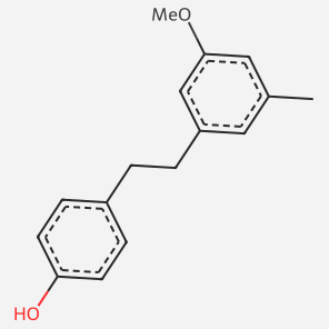 COc1cc(C)cc(CCc2ccc(O)cc2)c1